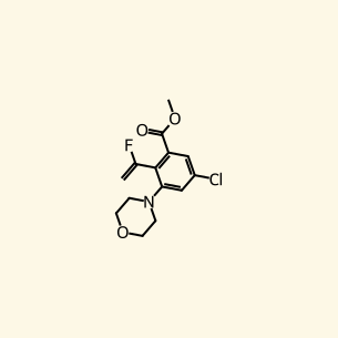 C=C(F)c1c(C(=O)OC)cc(Cl)cc1N1CCOCC1